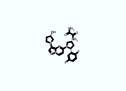 NC(=O)C(N)=O.O[C@H]1CCN(c2cnn3ccc(N4CCC[C@@H]4c4cc(F)ccc4F)nc23)C1